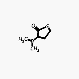 CB(C)C1CCSC1=O